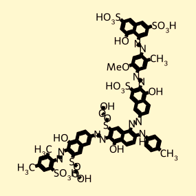 COc1cc(N=Nc2cc(S(=O)(=O)O)cc3cc(S(=O)(=O)O)cc(O)c23)c(C)cc1N=Nc1c(S(=O)(=O)O)cc2cc(N=Nc3c(Nc4ccc(C)cc4)ccc4c(O)c(N=Nc5ccc6c(O)c(N=Nc7c(C)cc(C)cc7S(=O)(=O)O)c(SOOO)cc6c5)c(SOOO)cc34)ccc2c1O